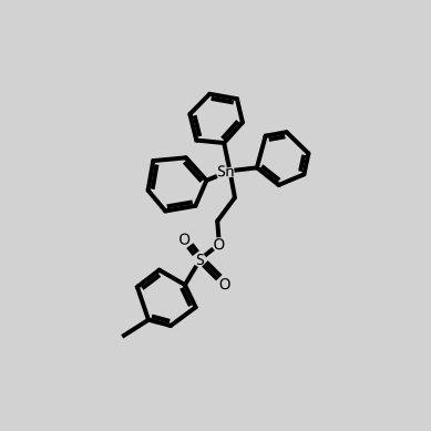 Cc1ccc(S(=O)(=O)OC[CH2][Sn]([c]2ccccc2)([c]2ccccc2)[c]2ccccc2)cc1